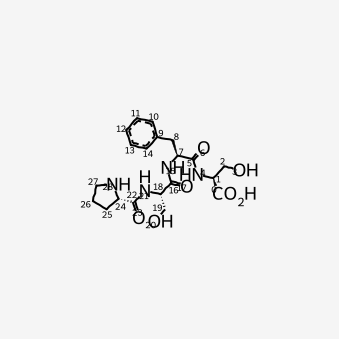 O=C(O)[C@H](CO)NC(=O)[C@H](Cc1ccccc1)NC(=O)[C@H](CO)NC(=O)[C@@H]1CCCN1